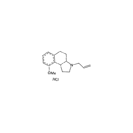 C=CCN1CCC2c3c(cccc3OC)CCC21.Cl